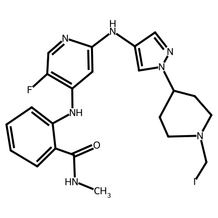 CNC(=O)c1ccccc1Nc1cc(Nc2cnn(C3CCN(CI)CC3)c2)ncc1F